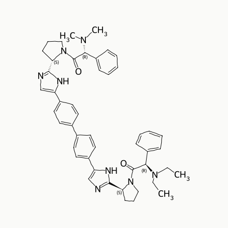 CCN(CC)[C@@H](C(=O)N1CCC[C@H]1c1ncc(-c2ccc(-c3ccc(-c4cnc([C@@H]5CCCN5C(=O)[C@@H](c5ccccc5)N(C)C)[nH]4)cc3)cc2)[nH]1)c1ccccc1